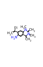 C=C(CC)c1cc2c(cc1N)C(=C)N(C)C(=C)N2C